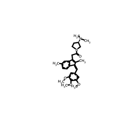 COc1cc(/C=C2/C(C)=C(CC(=O)N3CC[C@@H](N(C)C)C3)c3cc(C)ccc32)cc(OC)c1OC